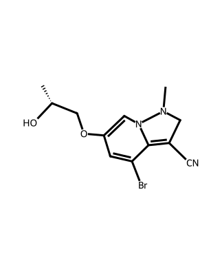 C[C@@H](O)COC1=CN2C(=C(C#N)CN2C)C(Br)=C1